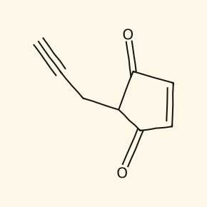 C#CCC1C(=O)C=CC1=O